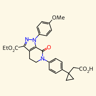 CCOC(=O)c1nn(-c2ccc(OC)cc2)c2c1CCN(c1ccc(C3(CC(=O)O)CC3)cc1)C2=O